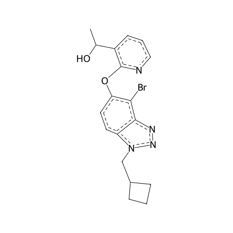 CC(O)c1cccnc1Oc1ccc2c(nnn2CC2CCC2)c1Br